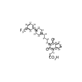 O=C(O)CCn1c(=O)n(CCCCN2CCN(c3cccc(C(F)(F)F)c3)CC2)c(=O)c2cscc21